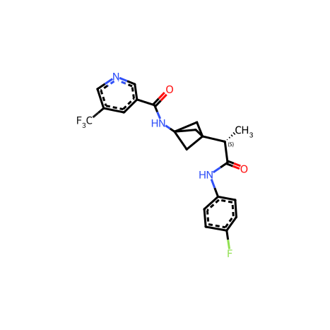 C[C@H](C(=O)Nc1ccc(F)cc1)C12CC(NC(=O)c3cncc(C(F)(F)F)c3)(C1)C2